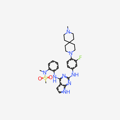 CN1CCC2(CC1)CCN(c1ccc(Nc3nc(Nc4ccccc4N(C)S(C)(=O)=O)c4cc[nH]c4n3)cc1F)CC2